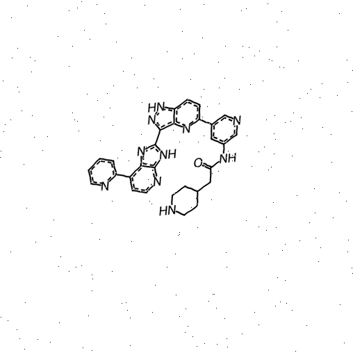 O=C(CC1CCNCC1)Nc1cncc(-c2ccc3[nH]nc(-c4nc5c(-c6ccccn6)ccnc5[nH]4)c3n2)c1